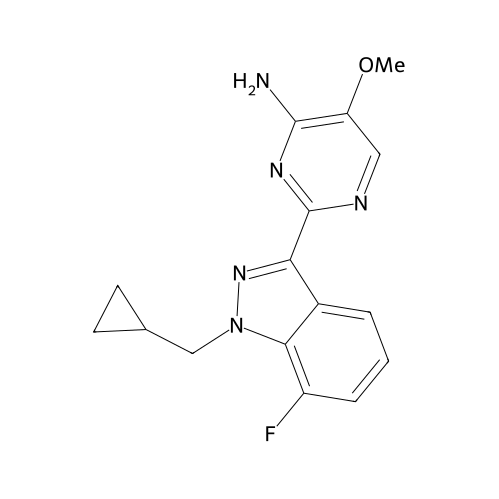 COc1cnc(-c2nn(CC3CC3)c3c(F)cccc23)nc1N